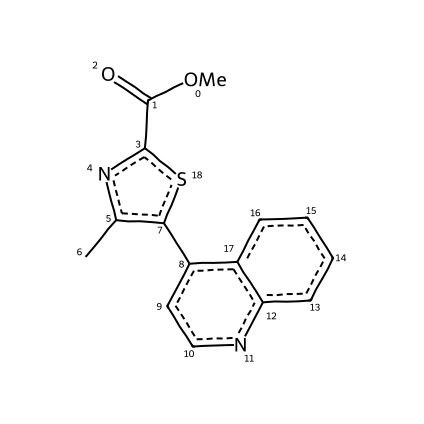 COC(=O)c1nc(C)c(-c2ccnc3ccccc23)s1